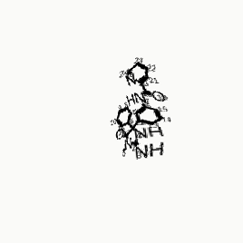 CN1C(=N)NC(c2ccccc2)(c2cccc(NC(=O)c3ccccn3)c2)C1=O